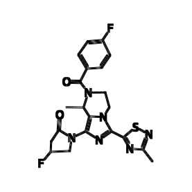 Cc1nsc(-c2nc(N3CC(F)CC3=O)c3n2CCN(C(=O)c2ccc(F)cc2)C3C)n1